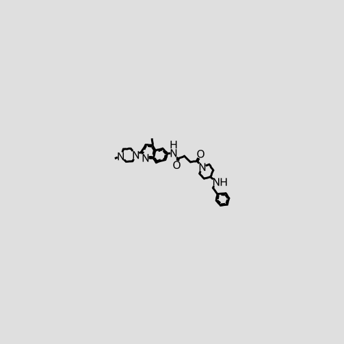 Cc1cc(N2CCN(C)CC2)nc2ccc(NC(=O)CCC(=O)N3CCC(NCc4ccccc4)CC3)cc12